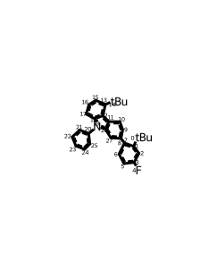 CC(C)(C)c1cc(F)ccc1-c1ccc2c3c(C(C)(C)C)cccc3n(-c3ccccc3)c2c1